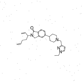 C=CCCC(C=C)N1Cc2cc(C3CCN(Cc4ccn(CC)n4)CC3)ccc2C1=O